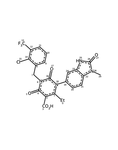 CCc1c(C(=O)O)c(=O)n(Cc2cccc(C(F)(F)F)c2Cl)c(=O)n1-c1ccc2c(c1)[nH]c(=O)n2C